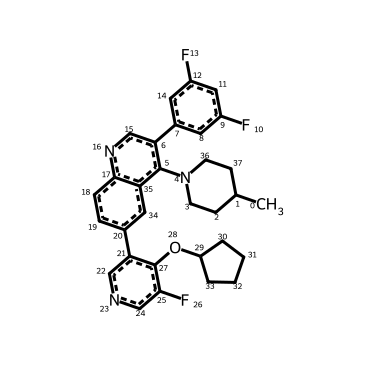 CC1CCN(c2c(-c3cc(F)cc(F)c3)cnc3ccc(-c4cncc(F)c4OC4CCCC4)cc23)CC1